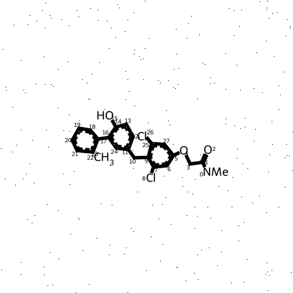 CNC(=O)COc1cc(Cl)c(Cc2ccc(O)c(-c3ccccc3C)c2)c(Cl)c1